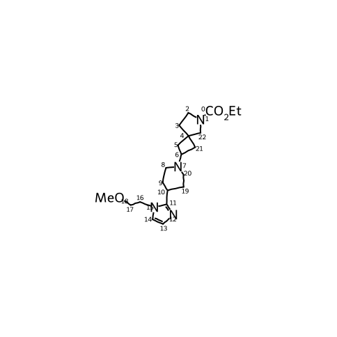 CCOC(=O)N1CCC2(CC(N3CCC(c4nccn4CCOC)CC3)C2)C1